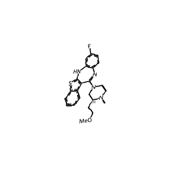 COCC[C@H]1CN(C2=Nc3ccc(F)cc3Nc3sc4ccccc4c32)CCN1C